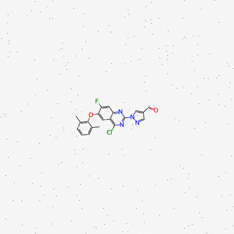 Cc1cccc(C)c1Oc1cc2c(Cl)nc(-n3cc([C]=O)cn3)nc2cc1F